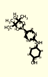 CC1(C)OB(c2cnc(NC3CCC(O)CC3)nc2)OC1(C)C